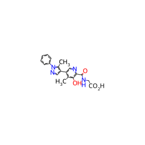 Cc1c(-c2cnn(-c3ccccc3)c2C)cnc(C(=O)NCC(=O)O)c1O